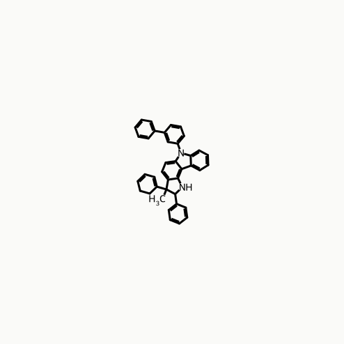 CC1(C2=CC=CCC2)c2ccc3c(c2NC1c1ccccc1)c1ccccc1n3-c1cccc(-c2ccccc2)c1